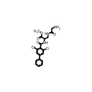 COC(=O)C(CNC(=O)CN)NC(=O)c1c(Cl)cc(-c2ccccc2)cc1Cl